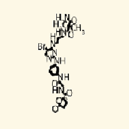 CC(C)(C(N)=O)C(=O)NCCCNc1nc(Nc2cccc(NC(=O)CNC(=O)[C@@H]3CCC(=O)O3)c2)ncc1Br